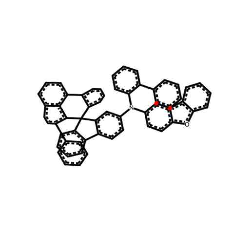 c1ccc(-c2ccccc2N(c2ccc3c(c2)C2(c4ccccc4-3)c3ccccc3-c3cccc4ccc(-c5ccccc5)c2c34)c2ccc3oc4ccccc4c3c2)cc1